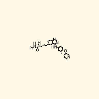 Cc1ccc(Oc2ccc(Nc3ncnc4ccc(C=CCNC(=O)NC(C)C)cc34)cc2C)cn1